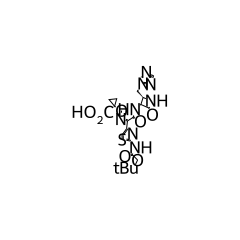 CC(C)(C)OC(=O)Nc1nc(C(=NOC2(C(=O)O)CC2)C(=O)N[C@@H]2C(=O)N[C@@H]2Cn2cncn2)cs1